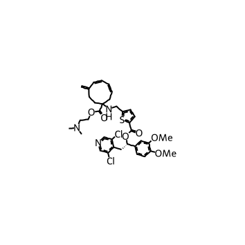 C=C1/C=C\C=C/CC(NCc2ccc(C(=O)O[C@@H](Cc3c(Cl)cncc3Cl)c3ccc(OC)c(OC)c3)s2)(C(=O)OCCN(C)C)CC1